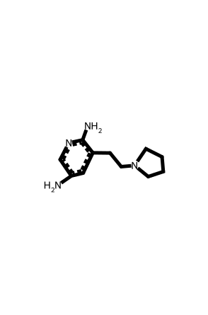 Nc1cnc(N)c(CCN2CCCC2)c1